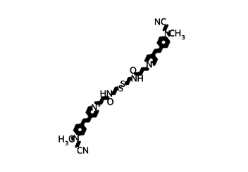 CN(CCC#N)c1ccc(/C=C/c2cc[n+](CCCC(=O)NCCSSCCNC(=O)CCC[n+]3ccc(/C=C/c4ccc(N(C)CCC#N)cc4)cc3)cc2)cc1